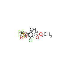 CCOC(=O)Cc1cc(Cl)c(OS(=O)(=O)C(F)(F)F)cc1C